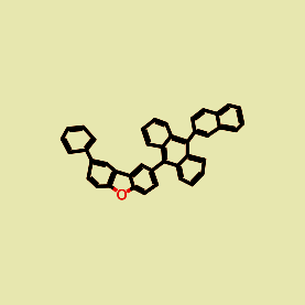 c1ccc(-c2ccc3oc4ccc(-c5c6ccccc6c(-c6ccc7ccccc7c6)c6ccccc56)cc4c3c2)cc1